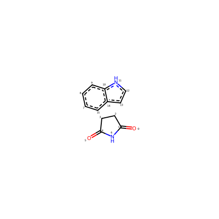 O=C1CCC(=O)N1.c1ccc2[nH]ccc2c1